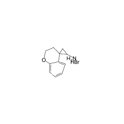 Br.NC1CC12CCOc1ccccc12